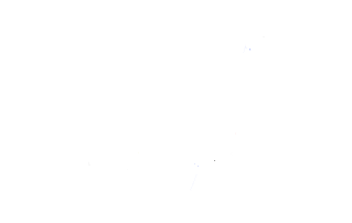 Cc1ccc(CNC(CO)(C(=O)OCC2CCN(C)CC2)c2ccccc2)s1